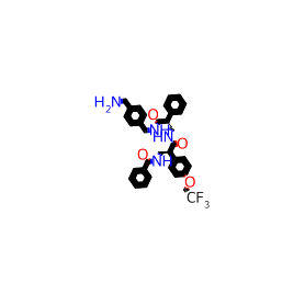 NCc1ccc(CNC(=O)[C@@H](CNC(=O)[C@H](CNC(=O)c2ccccc2)c2ccc(OCC(F)(F)F)cc2)c2ccccc2)cc1